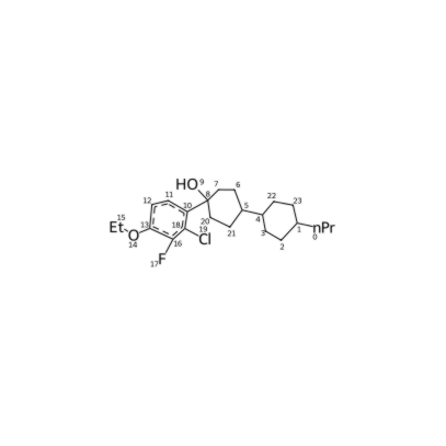 CCCC1CCC(C2CCC(O)(c3ccc(OCC)c(F)c3Cl)CC2)CC1